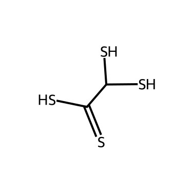 S=C(S)C(S)S